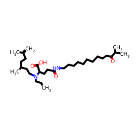 C=C(C)CCC(C)CCN(CCC)C(CCC(=O)NCCCCCCCCCCC(=O)C(C)C)C(=O)O